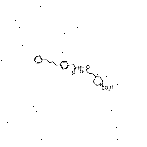 O=C(Cc1ccc(CCCCc2ccccc2)cc1)NOC(=O)CCC1CCN(C(=O)O)CC1